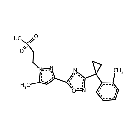 Cc1ccccc1C1(c2noc(-c3cc(C)n(CCS(C)(=O)=O)n3)n2)CC1